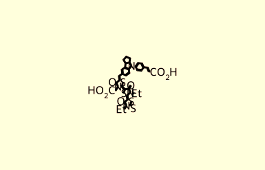 CCN1C(=O)/C(=c2\s/c(=c3/s/c(=C\c4ccc5c(c4)C4CCCC4N5c4ccc(C=CC(=O)O)cc4)c(=O)n3CC(=O)O)c(=O)n2CC)SC1=S